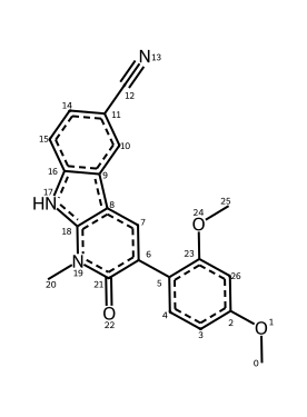 COc1ccc(-c2cc3c4cc(C#N)ccc4[nH]c3n(C)c2=O)c(OC)c1